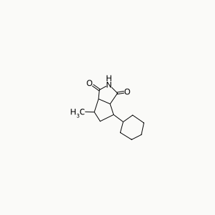 CC1CC(C2CCCCC2)C2C(=O)NC(=O)C12